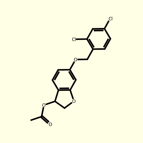 CC(=O)OC1COc2cc(OCc3ccc(Cl)cc3Cl)ccc21